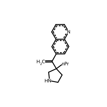 C=C(c1ccc2ncccc2c1)C1(CCC)CCNC1